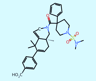 CN(C)S(=O)(=O)N1CCC(C(=O)N2CC=C3C(C)(C)C(c4ccc(C(=O)O)cc4)=CC[C@]3(C)C2)(c2ccccc2)CC1